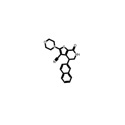 N#Cc1c(N2CCOCC2)sc2c1C(c1ccc3ccccc3c1)CNC2=O